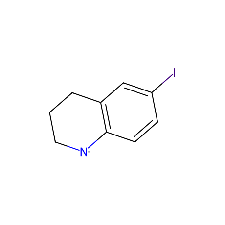 Ic1ccc2c(c1)CCC[N]2